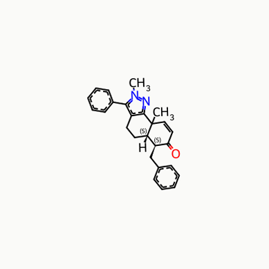 Cn1nc2c(c1-c1ccccc1)CC[C@H]1[C@H](Cc3ccccc3)C(=O)C=CC21C